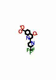 COC(=O)c1ccc2c(OC)cc(-c3ccc(C(F)(F)F)cn3)nc2c1